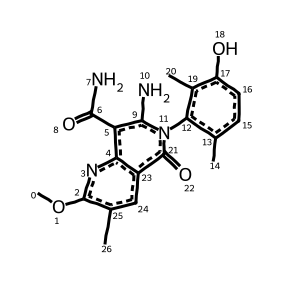 COc1nc2c(C(N)=O)c(N)n(-c3c(C)ccc(O)c3C)c(=O)c2cc1C